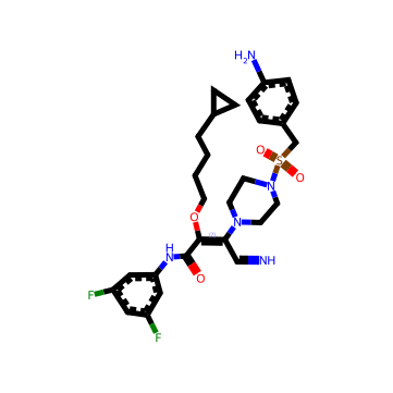 N=C/C(=C(/OCCCCC1CC1)C(=O)Nc1cc(F)cc(F)c1)N1CCN(S(=O)(=O)Cc2ccc(N)cc2)CC1